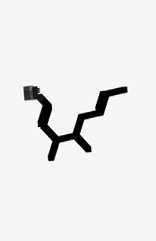 [CH2]CC=CC(C)C(C)CC=CC